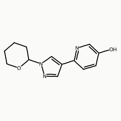 Oc1ccc(-c2cnn(C3CCCCO3)c2)nc1